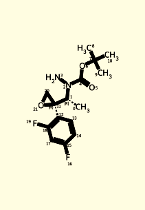 C[C@@H](N(N)C(=O)OC(C)(C)C)[C@]1(c2ccc(F)cc2F)CO1